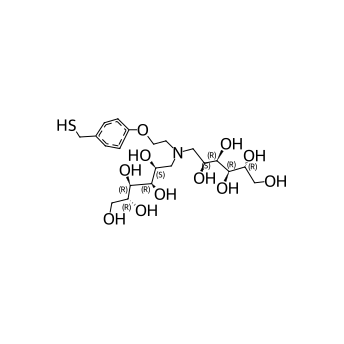 OC[C@@H](O)[C@@H](O)[C@H](O)[C@@H](O)CN(CCOc1ccc(CS)cc1)C[C@H](O)[C@@H](O)[C@H](O)[C@H](O)CO